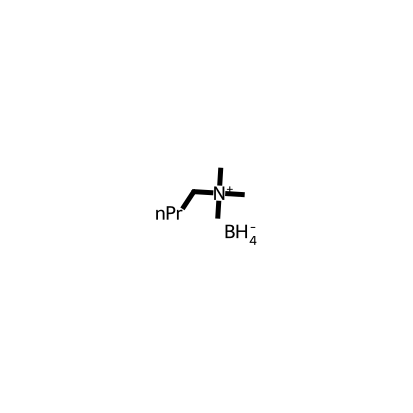 CCCC[N+](C)(C)C.[BH4-]